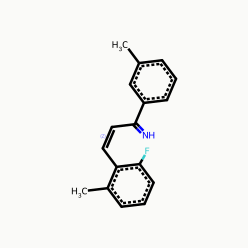 Cc1cccc(C(=N)/C=C\c2c(C)cccc2F)c1